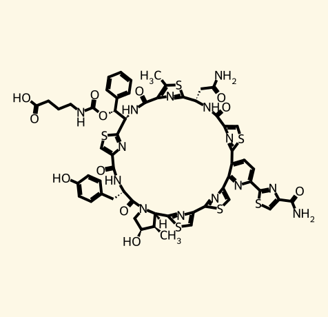 Cc1sc2nc1C(=O)N[C@@H]([C@H](OC(=O)NCCCC(=O)O)c1ccccc1)c1nc(cs1)C(=O)N[C@@H](Cc1ccc(O)cc1)C(=O)N1C[C@H](O)[C@H](C)[C@H]1c1nc(cs1)-c1nc(cs1)-c1nc(-c3nc(C(N)=O)cs3)ccc1-c1nc(cs1)C(=O)N[C@H]2CC(N)=O